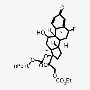 CCCCCOC(=O)O[C@]1(C(=O)COC(=O)OCC)CC[C@H]2[C@@H]3C[C@H](F)C4=CC(=O)C=C[C@]4(C)[C@H]3C(O)C[C@@]21C